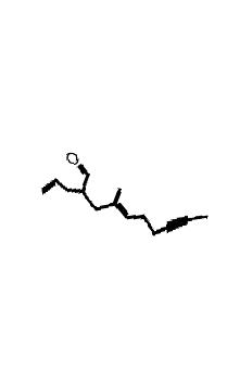 C=CCC(C=O)C/C(C)=C/CCC#CC